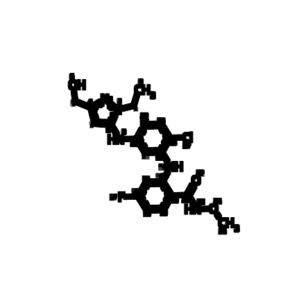 CCn1nc(CO)cc1Nc1cc(Nc2cc(F)ccc2C(=O)NOC)c(Cl)cn1